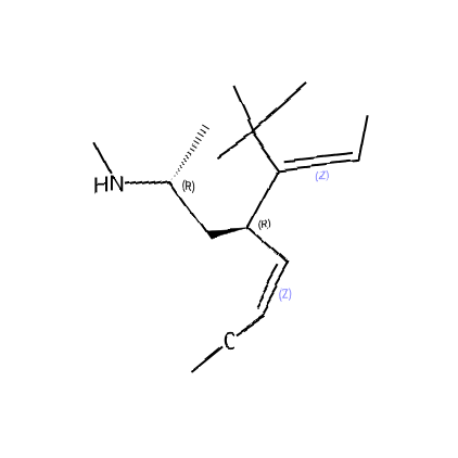 C/C=C(/[C@@H](/C=C\CC)C[C@@H](C)NC)C(C)(C)C